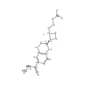 CN(C)CCC[C@@]1(C)CC[C@H]1N1CCc2cc(C(=O)NO)cnc2C1